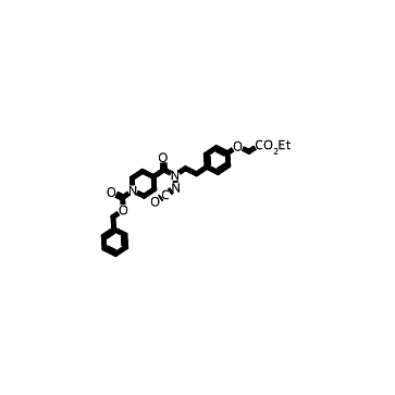 CCOC(=O)COc1ccc(CCN(N=C=O)C(=O)C2CCN(C(=O)OCc3ccccc3)CC2)cc1